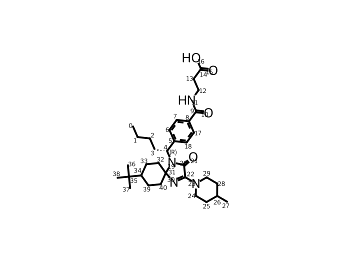 CCCC[C@H](c1ccc(C(=O)NCCC(=O)O)cc1)N1C(=O)C(N2CCC(C)CC2)=NC12CCC(C(C)(C)C)CC2